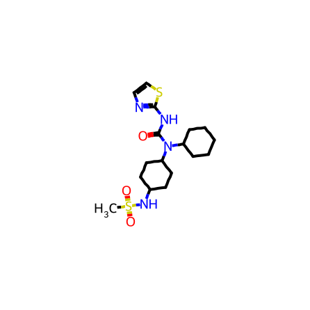 CS(=O)(=O)NC1CCC(N(C(=O)Nc2nccs2)C2CCCCC2)CC1